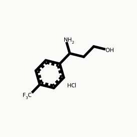 Cl.NC(CCO)c1ccc(C(F)(F)F)cc1